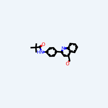 CC(C)(C)C(=O)Nc1ccc(-c2cc(C=O)c3ccccc3n2)cc1